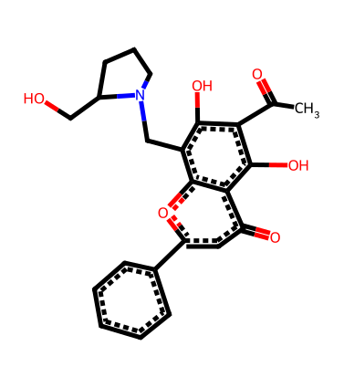 CC(=O)c1c(O)c(CN2CCCC2CO)c2oc(-c3ccccc3)cc(=O)c2c1O